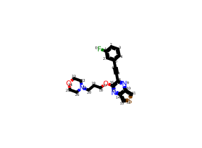 Fc1cccc(C#Cc2nc3cscc3nc2OCCCN2CCOCC2)c1